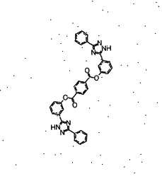 O=C(Oc1cccc(-c2nc(-c3ccccc3)n[nH]2)c1)c1ccc(C(=O)Oc2cccc(-c3nc(-c4ccccc4)n[nH]3)c2)cc1